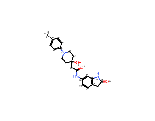 O=C(CC1(O)CCN(c2ccc(C(F)(F)F)cc2)CC1)Nc1ccc2c(c1)NC(=O)C2